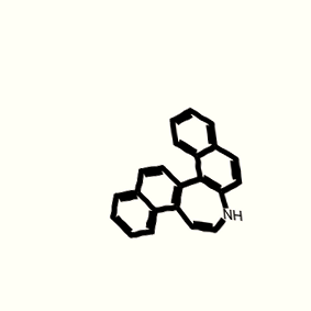 C1=Cc2c(ccc3ccccc23)-c2c(ccc3ccccc23)N1